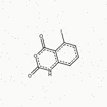 O=c1[nH]c2cccc(I)c2c(=O)o1